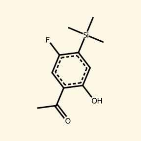 CC(=O)c1cc(F)c([Si](C)(C)C)cc1O